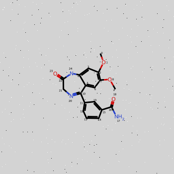 COc1cc2c(cc1OC)C(c1cccc(C(N)=O)c1)=NCC(=O)[N]2